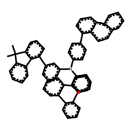 CC1(C)c2ccccc2-c2c(-c3cccc(N(c4ccc(-c5cccc6c5ccc5ccccc56)cc4)c4ccccc4-c4ccccc4-c4ccccc4-c4ccccc4)c3)cccc21